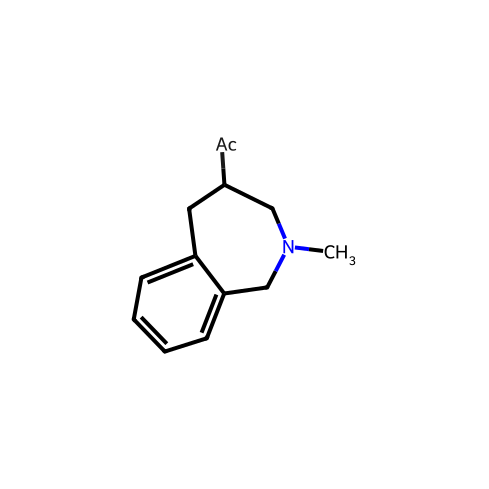 CC(=O)C1Cc2ccccc2CN(C)C1